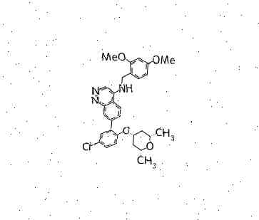 COc1ccc(CNc2cnnc3cc(-c4cc(Cl)ccc4O[C@H]4C[C@@H](C)O[C@@H](C)C4)ccc23)c(OC)c1